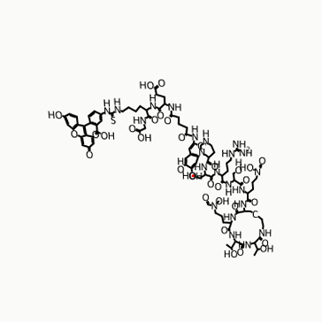 CC(O)C1NC(=O)C(CCCN(O)C=O)NC(=O)C(NC(=O)C(CCCN(O)C=O)NC(=O)C(CO)NC(=O)C(CCCNC(=N)N)NC(=O)C(CO)NC(=O)C2CCN[c+]3c(NC(=O)CCCC(=O)NC(CCC(=O)O)C(=O)NC(CCCCNC(=S)Nc4ccc(-c5c6ccc(=O)cc-6oc6cc(O)ccc56)c(C(=O)O)c4)C(=O)NCC(=O)O)cc4cc(O)c(O)cc4n32)CCCCNC(=O)C(C(C)O)NC1=O